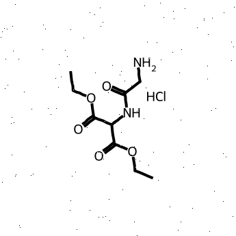 CCOC(=O)C(NC(=O)CN)C(=O)OCC.Cl